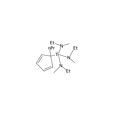 CCC[C]1([Ti]([N](C)CC)([N](C)CC)[N](C)CC)C=CC=C1